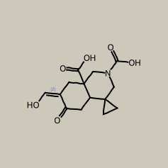 O=C1CC2C3(CC3)CN(C(=O)O)CC2(C(=O)O)C/C1=C/O